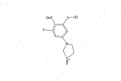 CCSc1cc(N2CC[C@@H](F)C2)cc(F)c1C=O